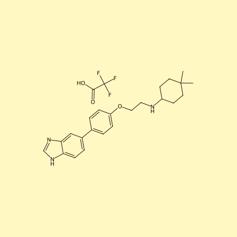 CC1(C)CCC(NCCOc2ccc(-c3ccc4[nH]cnc4c3)cc2)CC1.O=C(O)C(F)(F)F